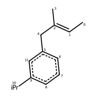 CC=C(C)Cc1cccc(C(C)C)c1